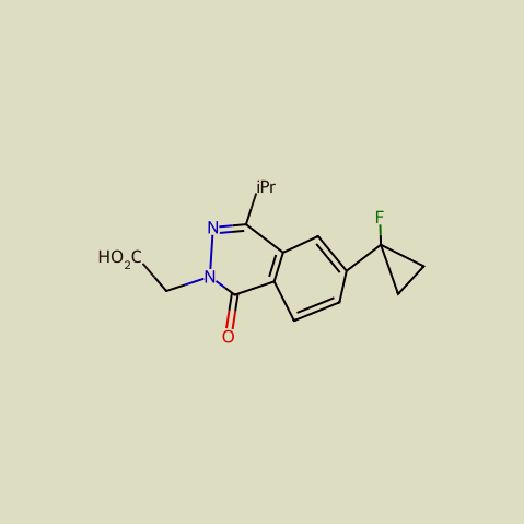 CC(C)c1nn(CC(=O)O)c(=O)c2ccc(C3(F)CC3)cc12